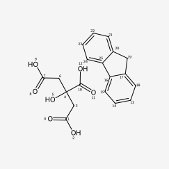 O=C(O)CC(O)(CC(=O)O)C(=O)O.c1ccc2c(c1)Cc1ccccc1-2